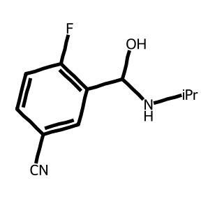 CC(C)NC(O)c1cc(C#N)ccc1F